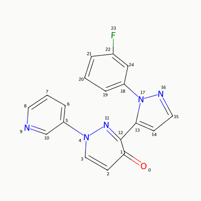 O=c1ccn(-c2cccnc2)nc1-c1ccnn1-c1cccc(F)c1